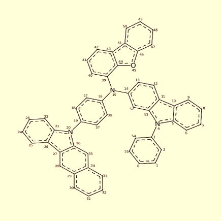 c1ccc(-n2c3ccccc3c3ccc(N(c4ccc(-n5c6ccccc6c6cc7ccccc7cc65)cc4)c4cccc5c4oc4ccccc45)cc32)cc1